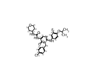 CC(C)Oc1ccc(Nc2ncc(NC(=O)NC3CCOCC3)c(=O)n2Cc2ccc(Cl)cc2)cc1F